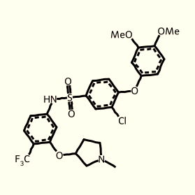 COc1ccc(Oc2ccc(S(=O)(=O)Nc3ccc(C(F)(F)F)c(OC4CCN(C)C4)c3)cc2Cl)cc1OC